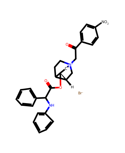 O=C(C[N+]12CCC(CC1)[C@@H](OC(=O)C(Nc1ccccc1)c1ccccc1)C2)c1ccc([N+](=O)[O-])cc1.[Br-]